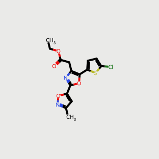 CCOC(=O)Cc1nc(-c2cc(C)no2)oc1-c1ccc(Cl)s1